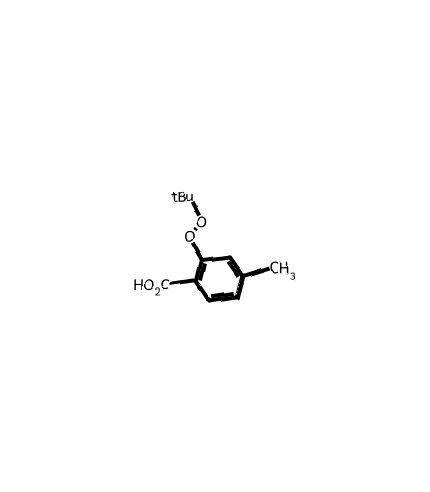 Cc1ccc(C(=O)O)c(OOC(C)(C)C)c1